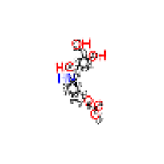 CCOC(=O)COc1ccc2c(c1)C[C@@H](NCC(O)c1ccc(O)c(CCO)c1)CC2